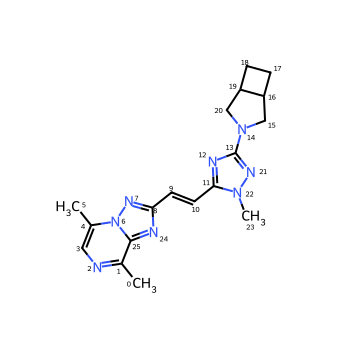 Cc1ncc(C)n2nc(C=Cc3nc(N4CC5CCC5C4)nn3C)nc12